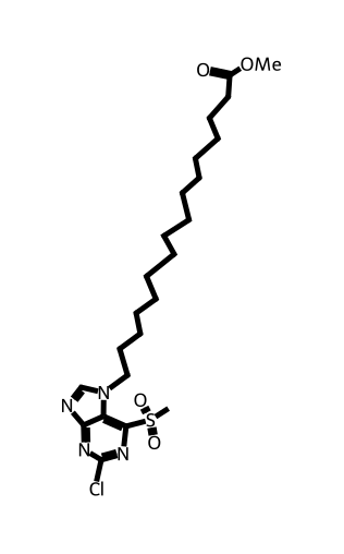 COC(=O)CCCCCCCCCCCCCCCn1cnc2nc(Cl)nc(S(C)(=O)=O)c21